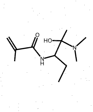 C=C(C)C(=O)NC(CC)C(C)(O)N(C)C